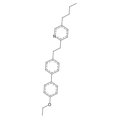 CCCCc1ccc(CCc2ccc(-c3ccc(OCC)cc3)cc2)nc1